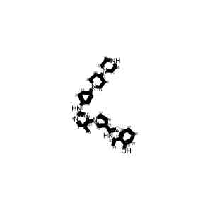 Cc1cnc(Nc2ccc(N3CCC(N4CCNCC4)CC3)cc2)nc1-n1ccc(C(=O)NC(C)c2ccccc2O)c1